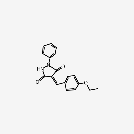 CCOc1ccc(C=C2C(=O)NN(c3ccccc3)C2=O)cc1